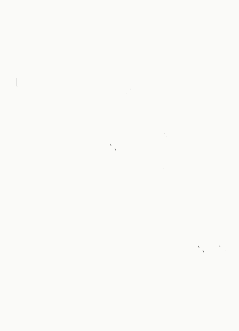 CC(=O)Nc1ccc2c(c1)C(=O)C(=O)N2CCCCl